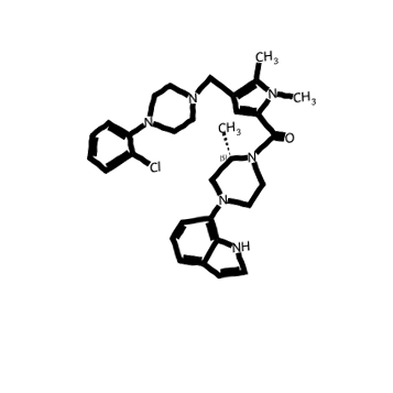 Cc1c(CN2CCN(c3ccccc3Cl)CC2)cc(C(=O)N2CCN(c3cccc4cc[nH]c34)C[C@@H]2C)n1C